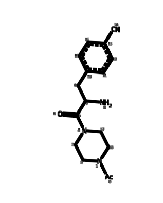 CC(=O)N1CCN(C(=O)C(N)Cc2ccc(C#N)cc2)CC1